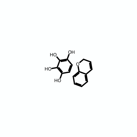 C1=Cc2ccccc2OC1.Oc1ccc(O)c(O)c1O